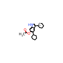 CC(=O)Oc1cc2[nH]cc(C3CCCCC3)c2cc1C1CCCCC1